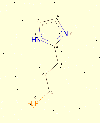 PCCCc1ncc[nH]1